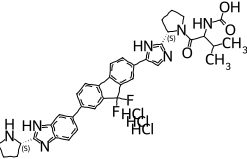 CC(C)C(NC(=O)O)C(=O)N1CCC[C@H]1c1ncc(-c2ccc3c(c2)C(F)(F)c2cc(-c4ccc5nc([C@@H]6CCCN6)[nH]c5c4)ccc2-3)[nH]1.Cl.Cl.Cl